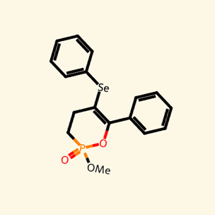 COP1(=O)CCC([Se]c2ccccc2)=C(c2ccccc2)O1